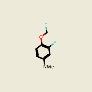 CNc1ccc(OCF)c(F)c1